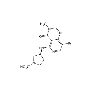 Cn1cnc2c(Br)cnc(N[C@H]3CCN(C(=O)O)C3)c2c1=O